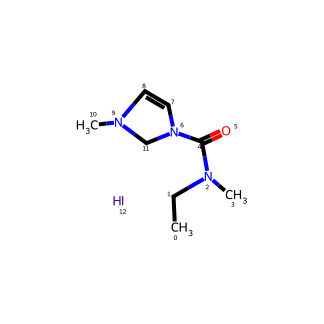 CCN(C)C(=O)N1C=CN(C)C1.I